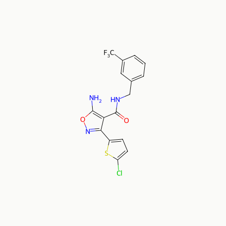 Nc1onc(-c2ccc(Cl)s2)c1C(=O)NCc1cccc(C(F)(F)F)c1